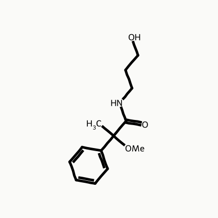 COC(C)(C(=O)NCCCO)c1ccccc1